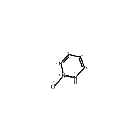 ClN1N=[C]C=CN1